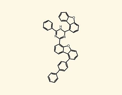 c1ccc(C2=NC(c3cccc4c3oc3cccc(-c5ccc(-c6ccccc6)cc5)c34)=NC(c3cccc4oc5ccccc5c34)N2)cc1